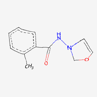 Cc1ccccc1C(=O)NN1C=COC1